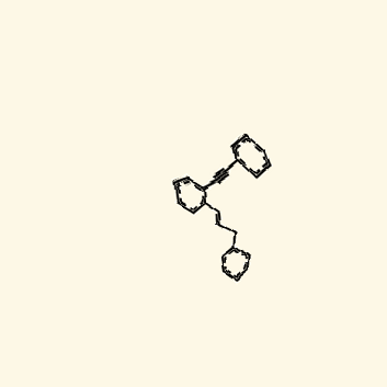 C(#Cc1ccccc1/C=C/Cc1ccccc1)c1ccccc1